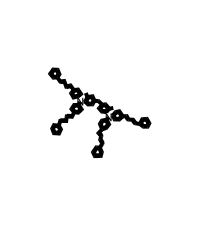 Cc1cc(Cc2ccc(N(c3ccc(/C=C/C=C/c4ccccc4)cc3)c3ccc(/C=C/C=C/c4ccccc4)cc3)c(C)c2)ccc1N(c1ccc(/C=C/C=C/c2ccccc2)cc1)c1ccc(/C=C/C=C/c2ccccc2)cc1